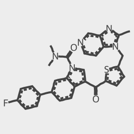 Cc1nc2cnccc2n1Cc1ccc(C(=O)c2cn(C(=O)N(C)C)c3cc(-c4ccc(F)cc4)ccc23)s1